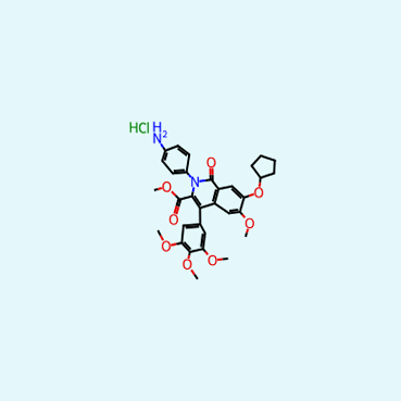 COC(=O)c1c(-c2cc(OC)c(OC)c(OC)c2)c2cc(OC)c(OC3CCCC3)cc2c(=O)n1-c1ccc(N)cc1.Cl